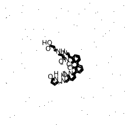 COc1nc(-c2cccc(-c3cccc(-c4cnc(CNCCC(=O)O)c(OC)n4)c3Cl)c2Cl)ccc1CNC[C@@H]1CCC(=O)N1